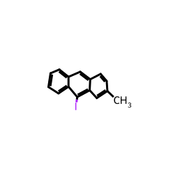 Cc1ccc2cc3ccccc3c(I)c2c1